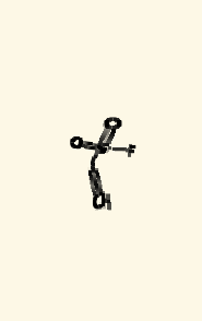 C#CS(=O)(=O)F